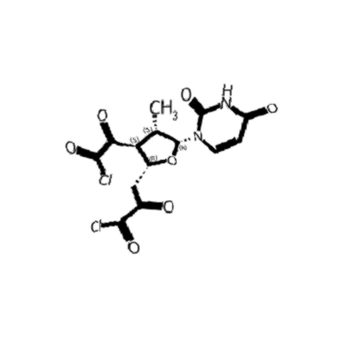 C[C@H]1[C@H](C(=O)C(=O)Cl)[C@@H](CC(=O)C(=O)Cl)O[C@H]1n1ccc(=O)[nH]c1=O